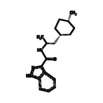 CC(C[C@H]1CC[C@@H](C)CC1)NC(=O)c1n[nH]c2ccccc12